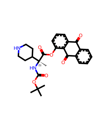 CC(C)(C)OC(=O)N[C@](C)(C(=O)Oc1cccc2c1C(=O)c1ccccc1C2=O)C1CCNCC1